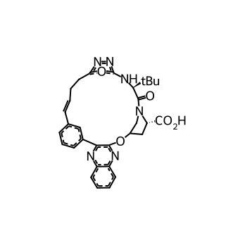 CC(C)(C)[C@@H]1Nc2nnc(o2)CC/C=C/c2cccc(c2)-c2nc3ccccc3nc2OC2C[C@@H](C(=O)O)N(C2)C1=O